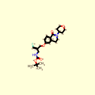 CC(C)(C)OC(=O)NC/C(=C/F)COc1ccc2c(c1)CCN(C1CCOCC1)C2=O